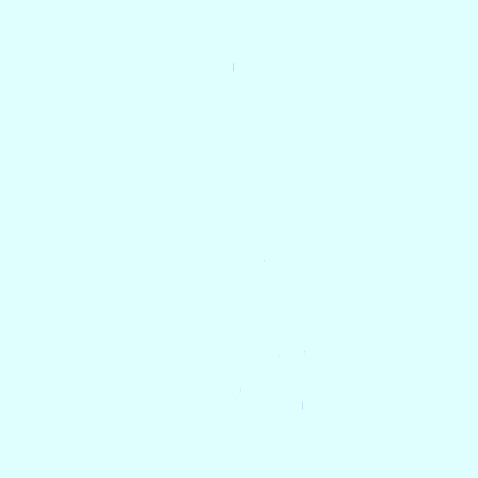 C=C(C)C(=O)CCOCCOCCOC(=O)C(=C)C